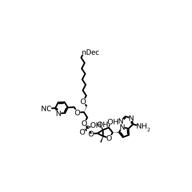 CCCCCCCCCCCCCCCCCCOC[C@H](COP(=O)(O)OC1[C@@]2(C)O[C@@H](c3ccc4c(N)ncnn34)[C@H](O)[C@@]12O)OCc1ccc(C#N)nc1